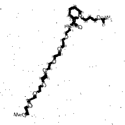 COCCOCCOCCOCCOCCOCCOCCOCCNC(=O)C1CCCCN1CCCOC(N)=O